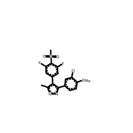 COc1ccc(-c2noc(C)c2-c2cc(F)c(S(C)(=O)=O)c(F)c2)cc1Cl